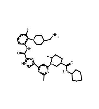 Cc1nc(-c2c[nH]c(C(=O)Nc3cccc(F)c3N3CCC(CN)CC3)n2)cc(N2CC(C(=O)NC3CCCCC3)CC[C@@H]2C)n1